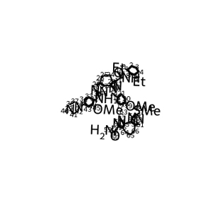 CCc1cccc(CC)c1NC(=O)c1nn(Cc2ccc(OC)cc2)c2c1CCCc1cnc(Nc3ccc(N4CCN(C)CC4)cc3OC)nc1-2.CSc1ncc2c(n1)-c1c(c(C(N)=O)nn1C)CCC2